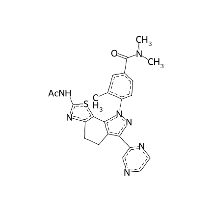 CC(=O)Nc1nc2c(s1)-c1c(c(-c3cnccn3)nn1-c1ccc(C(=O)N(C)C)cc1C)CC2